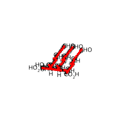 O=COCCCCCCCCCCC(=O)NCC1CCC(CCCCCC(=O)N[C@H](CCCCCCONC(CCCCCONC(CCCCCON(O)C(=O)O)[C@H](CCC(=O)O)NC(=O)CCCCCC2CCC(CNC(=O)CCCCCCCCCCOC=O)CC2)[C@H](CCC(=O)O)NC(=O)CCCCCC2CCC(CNC(=O)CCCCCCCCCCOC=O)CC2)CCC(=O)O)CC1